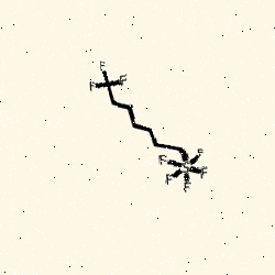 FC(F)(F)CCCCCCS(F)(F)(F)(F)F